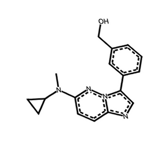 CN(c1ccc2ncc(-c3cccc(CO)c3)n2n1)C1CC1